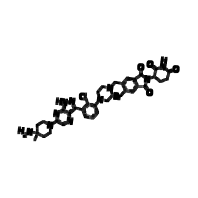 CC1(N)CCN(c2cnc3c(-c4cccc(N5CCN(Cc6cc7c(cc6Br)C(=O)N(C6CCC(=O)NC6=O)C7=O)CC5)c4Cl)n[nH]c3n2)CC1